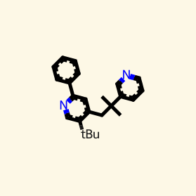 CC(C)(C)c1cnc(-c2ccccc2)cc1CC(C)(C)c1cccnc1